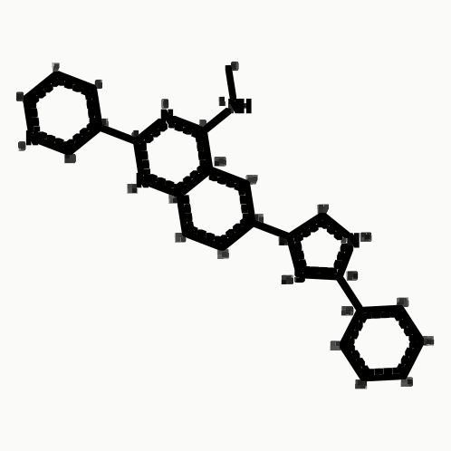 CNc1nc(-c2cccnc2)nc2ccc(-c3cnc(-c4ccccc4)s3)cc12